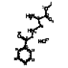 COC(=O)C(N)CNCC(=O)c1ccccc1.Cl